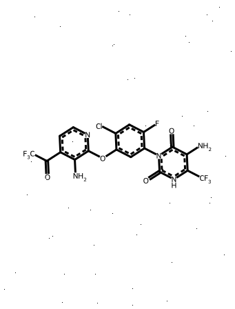 Nc1c(C(=O)C(F)(F)F)ccnc1Oc1cc(-n2c(=O)[nH]c(C(F)(F)F)c(N)c2=O)c(F)cc1Cl